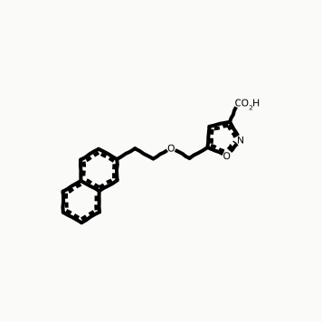 O=C(O)c1cc(COCCc2ccc3ccccc3c2)on1